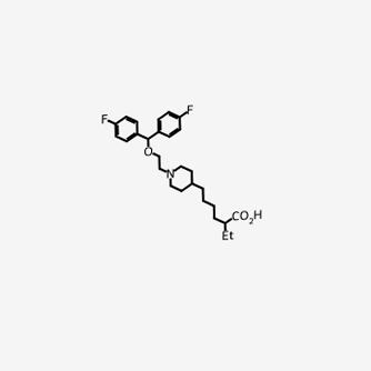 CCC(CCCCC1CCN(CCOC(c2ccc(F)cc2)c2ccc(F)cc2)CC1)C(=O)O